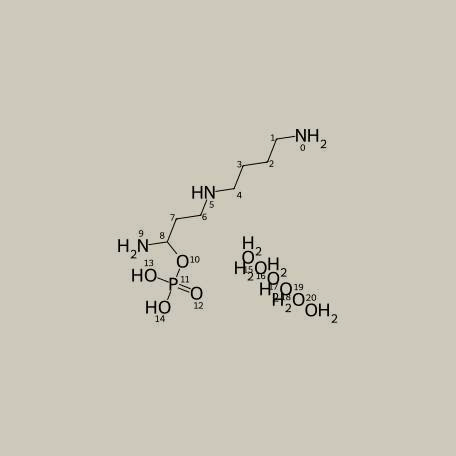 NCCCCNCCC(N)OP(=O)(O)O.O.O.O.O.O.O